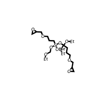 CCOCO[Si](CCCOCC1CO1)(OC)OC(CCCOCC1CO1)(OCC)OCC